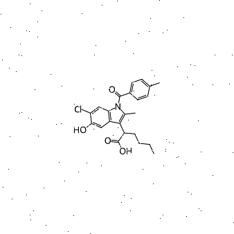 CCCCC(C(=O)O)c1c(C)n(C(=O)c2ccc(C)cc2)c2cc(Cl)c(O)cc12